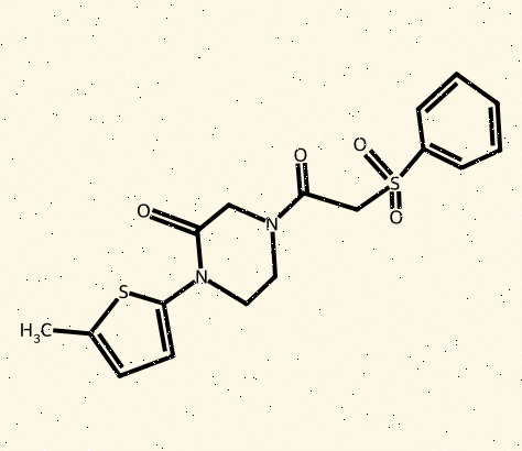 Cc1ccc(N2CCN(C(=O)CS(=O)(=O)c3ccccc3)CC2=O)s1